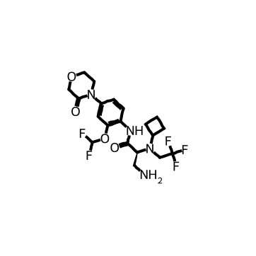 NC[C@@H](C(=O)Nc1ccc(N2CCOCC2=O)cc1OC(F)F)N(CC(F)(F)F)C1CCC1